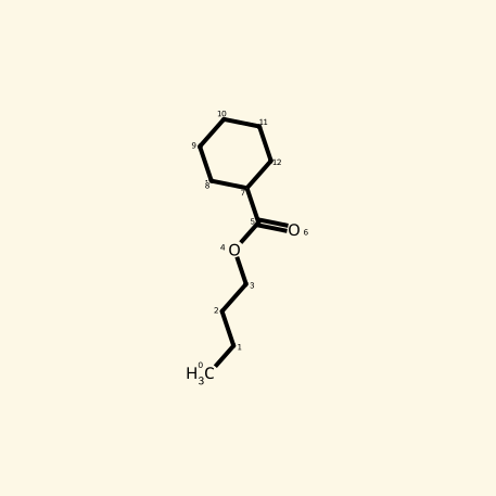 CCCCOC(=O)C1[CH]CCCC1